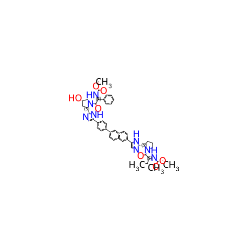 COC(=O)N[C@H](C(=O)N1CCC[C@H]1c1ncc(-c2ccc3cc(-c4ccc(-c5cnc([C@@H]6CC(O)CN6C(=O)[C@H](NC(=O)OC)c6ccccc6)[nH]5)cc4)ccc3c2)[nH]1)C(C)C